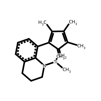 C=C1C(C)=C(C)C(C)=C1c1cccc2c1[N]([Ti]([CH3])[CH3])CCC2